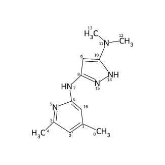 Cc1[c]c(C)nc(Nc2cc(N(C)C)[nH]n2)c1